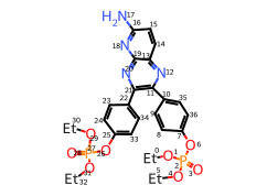 CCOP(=O)(OCC)Oc1ccc(-c2nc3ccc(N)nc3nc2-c2ccc(OP(=O)(OCC)OCC)cc2)cc1